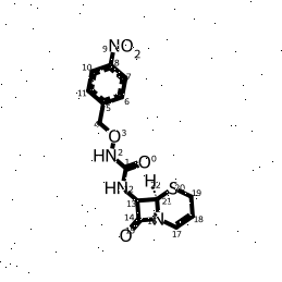 O=C(NOCc1ccc([N+](=O)[O-])cc1)NC1C(=O)N2C=CCS[C@H]12